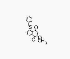 COC1=CC(=O)c2c(SCc3ccccc3)cccc2C1=O